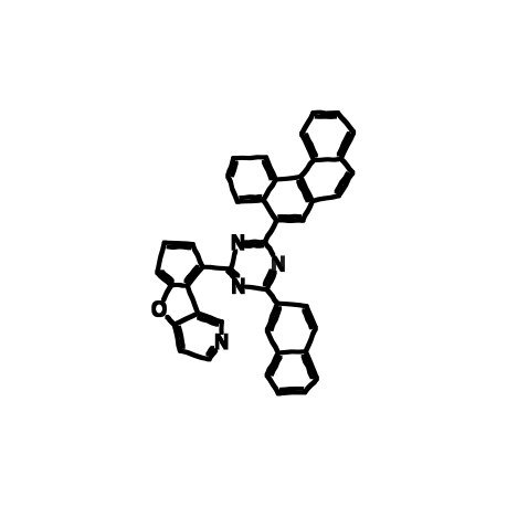 c1ccc2cc(-c3nc(-c4cc5ccc6ccccc6c5c5ccccc45)nc(-c4cccc5oc6ccncc6c45)n3)ccc2c1